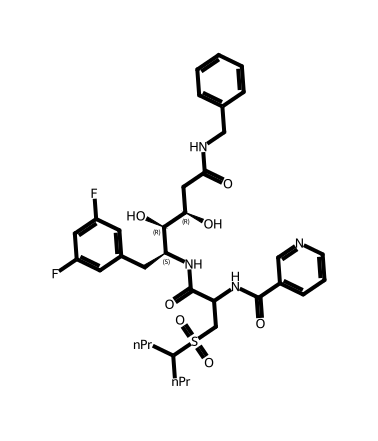 CCCC(CCC)S(=O)(=O)CC(NC(=O)c1cccnc1)C(=O)N[C@@H](Cc1cc(F)cc(F)c1)[C@@H](O)[C@H](O)CC(=O)NCc1ccccc1